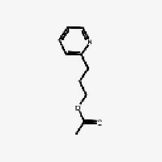 CC(=O)OCCCc1ccccn1